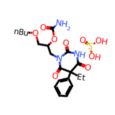 CCCCOCC(CN1C(=O)NC(=O)C(CC)(c2ccccc2)C1=O)OC(N)=O.O=S(O)O